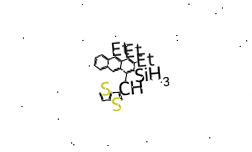 C#Cc1c([SiH3])c(CC)c(CC)c2c(CC)c3ccccc3cc12.c1cc2sccc2s1